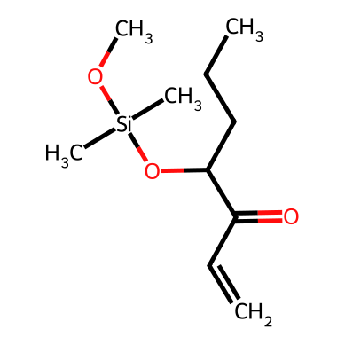 C=CC(=O)C(CCC)O[Si](C)(C)OC